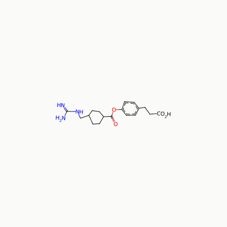 N=C(N)NCC1CCC(C(=O)Oc2ccc(CCC(=O)O)cc2)CC1